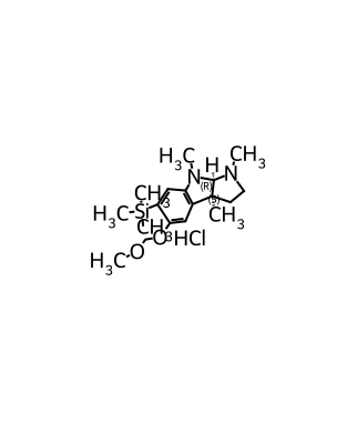 COCOc1cc2c(cc1[Si](C)(C)C)N(C)[C@H]1N(C)CC[C@@]21C.Cl